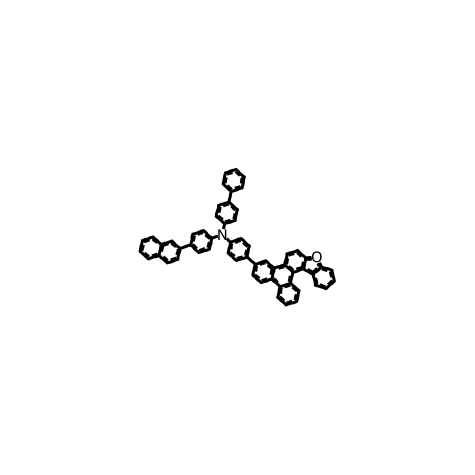 c1ccc(-c2ccc(N(c3ccc(-c4ccc5ccccc5c4)cc3)c3ccc(-c4ccc5c6ccccc6c6c(ccc7oc8ccccc8c76)c5c4)cc3)cc2)cc1